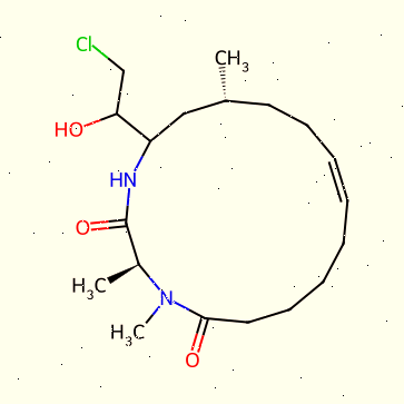 C[C@@H]1CCC=CCCCCC(=O)N(C)[C@@H](C)C(=O)NC(C(O)CCl)C1